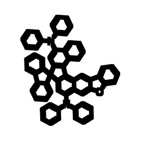 c1ccc(N(c2ccccc2)c2cc3c(c4ccccc24)-c2c(cc(N(c4ccccc4)c4ccccc4)c4cc5oc6ccccc6c5cc24)C32c3ccccc3-c3ccccc32)cc1